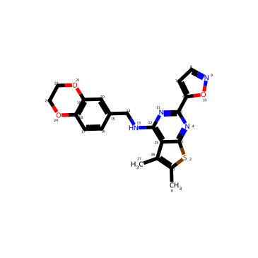 Cc1sc2nc(-c3ccno3)nc(NCc3ccc4c(c3)OCCO4)c2c1C